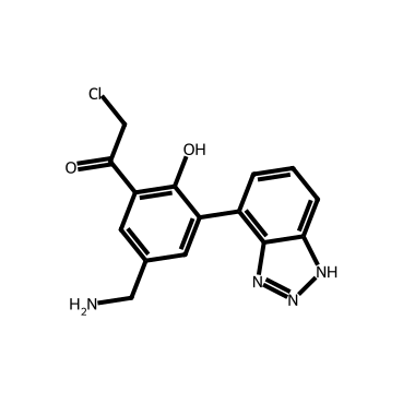 NCc1cc(C(=O)CCl)c(O)c(-c2cccc3[nH]nnc23)c1